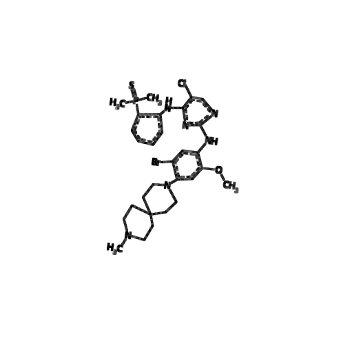 COc1cc(N2CCC3(CCN(C)CC3)CC2)c(Br)cc1Nc1ncc(Cl)c(Nc2ccccc2P(C)(C)=S)n1